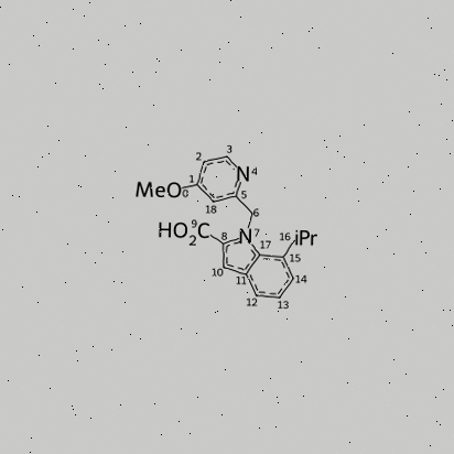 COc1ccnc(Cn2c(C(=O)O)cc3cccc(C(C)C)c32)c1